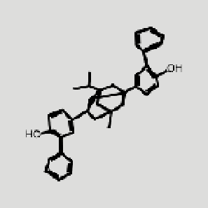 CC(C)C12CC3(C)CC(c4ccc(O)c(-c5ccccc5)c4)(CC(c4ccc(O)c(-c5ccccc5)c4)(C3)C1)C2